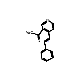 COC(=O)c1cnccc1/C=C/c1ccccc1